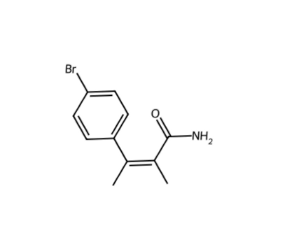 CC(C(N)=O)=C(C)c1ccc(Br)cc1